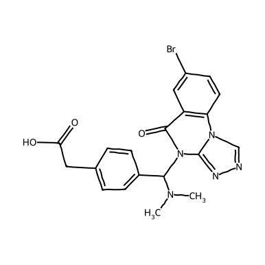 CN(C)C(c1ccc(CC(=O)O)cc1)n1c(=O)c2cc(Br)ccc2n2cnnc12